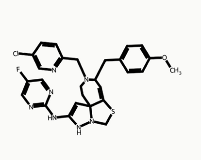 COc1ccc(CC2C=C3SCN4NC(Nc5ncc(F)cn5)=CC34CCN2Cc2ccc(Cl)cn2)cc1